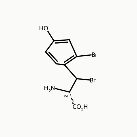 N[C@@H](C(=O)O)C(Br)c1ccc(O)cc1Br